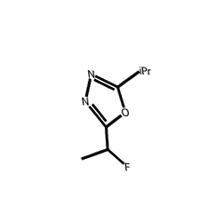 CC(C)c1nnc(C(C)F)o1